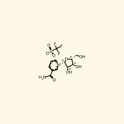 NC(=O)c1ccc[n+]([C@@H]2O[C@H](CO)[C@@H](O)[C@H]2O)c1.O=S(=O)([O-])C(F)(F)F